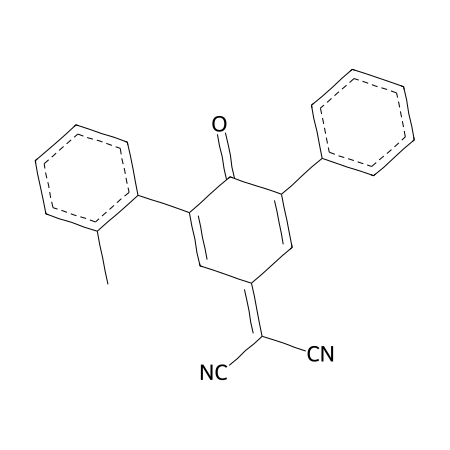 Cc1ccccc1C1=CC(=C(C#N)C#N)C=C(c2ccccc2)C1=O